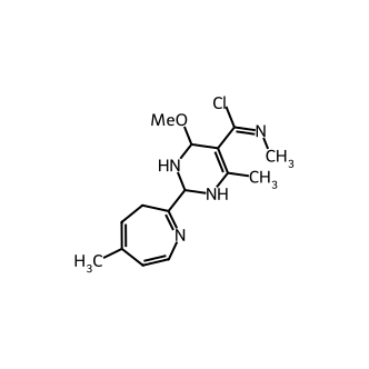 C/N=C(/Cl)C1=C(C)NC(C2=NC=CC(C)=CC2)NC1OC